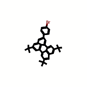 CC(C)(C)c1cc2cc(-c3ccc(Br)cc3)cc3c4cc(C(C)(C)C)cc5cc(C(C)(C)C)cc(c(c1)c23)c54